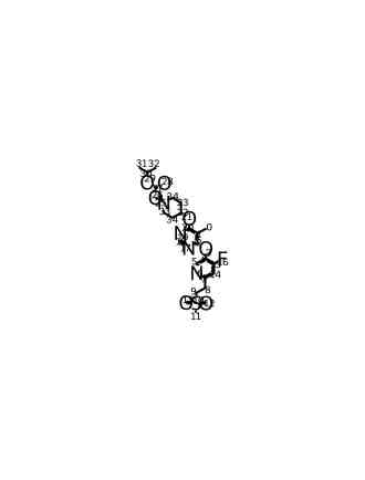 Cc1c(Oc2cnc(CCS(C)(=O)=O)cc2F)ncnc1OC1CCN(OC(=O)OC(C)C)CC1